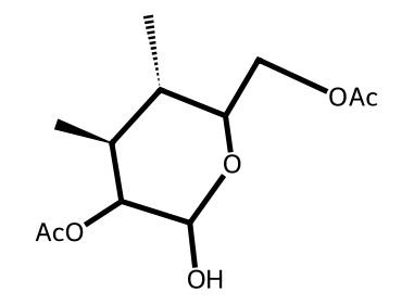 CC(=O)OCC1OC(O)C(OC(C)=O)[C@@H](C)[C@@H]1C